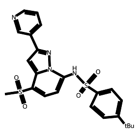 CC(C)(C)c1ccc(S(=O)(=O)Nc2ccc(S(C)(=O)=O)c3cc(-c4cccnc4)nn23)cc1